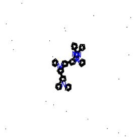 c1ccc(-c2nc3c4cc(-c5ccc6c(c5)c5cc(-c7ccc8c(c7)c7ccccc7n8-c7ccccc7)ccc5n6-c5ccccc5)ccc4n(-c4ccccc4)c3nc2-c2ccccc2)cc1